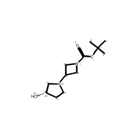 CC(C)(C)OC(=O)N1CC(N2CC[C@H](O)C2)C1